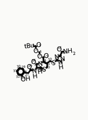 CC(C)(C)C(=O)OCOC(=O)C1=C(CSc2nc(C(N)=O)n[nH]2)CS[C@@H]2C(NC(=O)Cc3ccccc3O)C(=O)N12